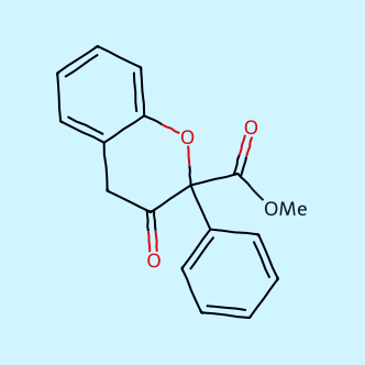 COC(=O)C1(c2ccccc2)Oc2ccccc2CC1=O